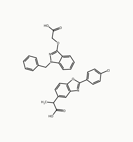 CC(C(=O)O)c1ccc2oc(-c3ccc(Cl)cc3)nc2c1.O=C(O)COc1nn(Cc2ccccc2)c2ccccc12